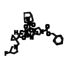 CC(C)(C)OC(=O)N1C2CCC1CN(c1nc(OCC3(CN4CCC(F)C4)CC3)nc3c1CN(C(=O)OCc1ccccc1)C3)C2